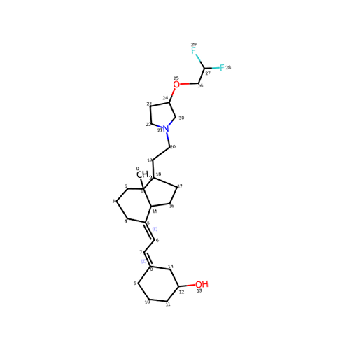 CC12CCC/C(=C\C=C3\CCCC(O)C3)C1CCC2CCN1CCC(OCC(F)F)C1